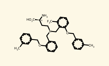 Cc1cccc(COc2ccccc2CN(CC[C@H](N)C(=O)O)Cc2c(OCc3cccc(C)c3)cccc2C(F)(F)F)c1